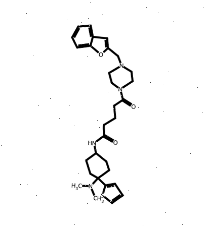 CN(C)C1(c2cccs2)CCC(NC(=O)CCCC(=O)N2CCN(Cc3cc4ccccc4o3)CC2)CC1